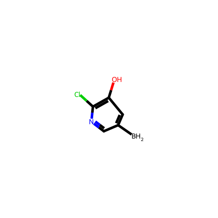 Bc1cnc(Cl)c(O)c1